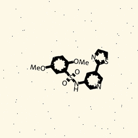 COc1ccc(OC)c(S(=O)(=O)Nc2cncc(-c3nccs3)c2)c1